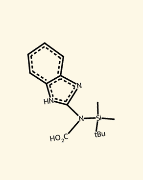 CC(C)(C)[Si](C)(C)N(C(=O)O)c1nc2ccccc2[nH]1